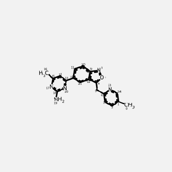 Cc1ccc(Cc2onc3ccc(-c4cc(C)nc(N)n4)cc23)nc1